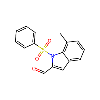 Cc1cccc2cc(C=O)n(S(=O)(=O)c3ccccc3)c12